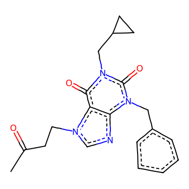 CC(=O)CCn1cnc2c1c(=O)n(CC1CC1)c(=O)n2Cc1ccccc1